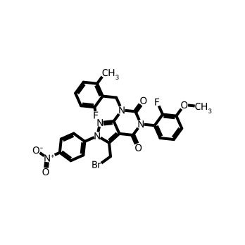 COc1cccc(-n2c(=O)c3c(CBr)n(-c4ccc([N+](=O)[O-])cc4)nc3n(Cc3c(C)cccc3F)c2=O)c1F